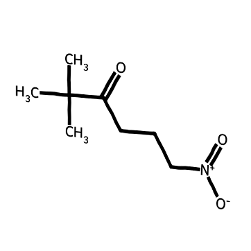 CC(C)(C)C(=O)CCC[N+](=O)[O-]